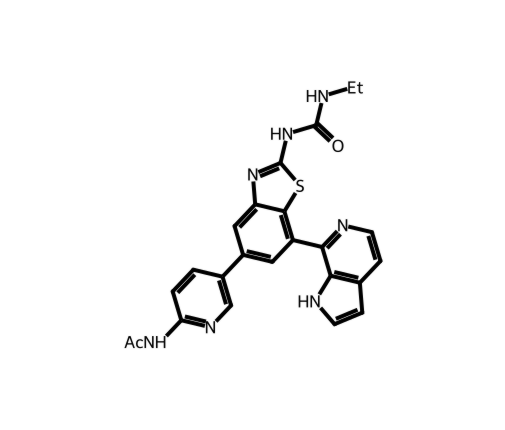 CCNC(=O)Nc1nc2cc(-c3ccc(NC(C)=O)nc3)cc(-c3nccc4cc[nH]c34)c2s1